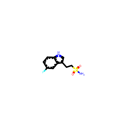 NS(=O)(=O)CCc1c[nH]c2ccc(F)cc12